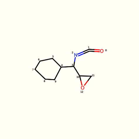 O=C=NC(C1CCCCC1)C1CO1